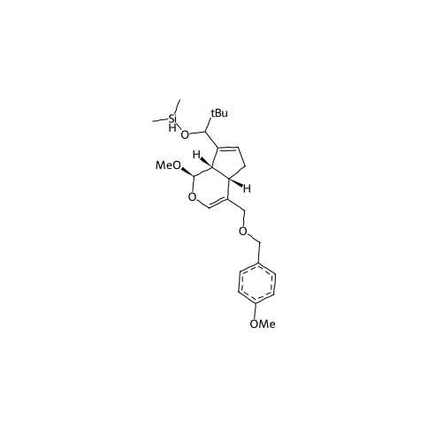 COc1ccc(COCC2=CO[C@@H](OC)[C@@H]3C(C(O[SiH](C)C)C(C)(C)C)=CC[C@H]23)cc1